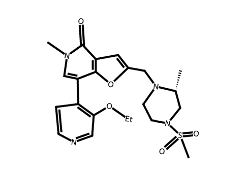 CCOc1cnccc1-c1cn(C)c(=O)c2cc(CN3CCN(S(C)(=O)=O)C[C@H]3C)oc12